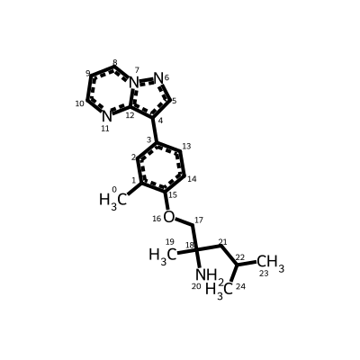 Cc1cc(-c2cnn3cccnc23)ccc1OCC(C)(N)CC(C)C